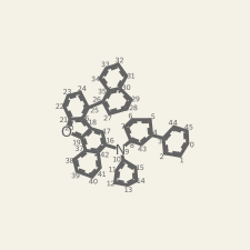 c1ccc(-c2cccc(N(c3ccccc3)c3cc4c(oc5cccc(-c6cccc7ccccc67)c54)c4ccccc34)c2)cc1